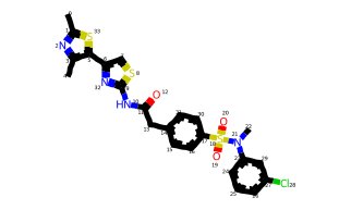 Cc1nc(C)c(-c2csc(NC(=O)Cc3ccc(S(=O)(=O)N(C)c4cccc(Cl)c4)cc3)n2)s1